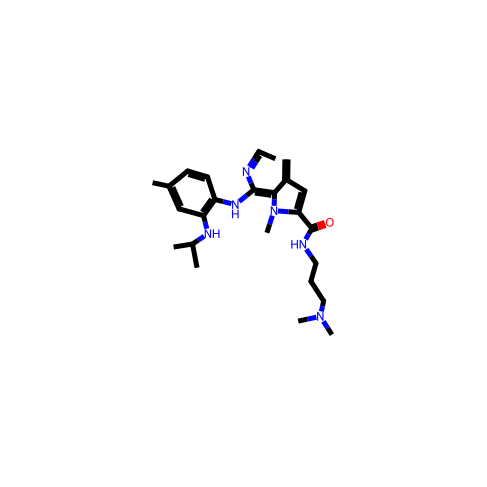 C=c1cc(C(=O)NCCCN(C)C)n(C)/c1=C(/N=C\C)Nc1ccc(C)cc1NC(C)C